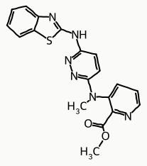 COC(=O)c1ncccc1N(C)c1ccc(Nc2nc3ccccc3s2)nn1